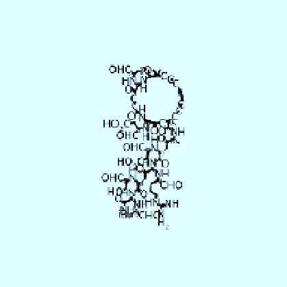 CC[C@H](C)[C@@H](C=O)N[C@H](NC(=O)[C@@H](CC(=O)[C@@H](NC(=O)[C@@H](CC(=O)[C@H](C)NC(=O)[C@]1(C)CCC/C=C\CCCC(C)(C)C(=O)N[C@@H](N[C@H](C=O)C(C)C)C(=O)CCC(=O)N[C@@H](N[C@H](C=O)CC(=O)O)C(=O)C1)N[C@H](C=O)CC(=O)O)N[C@H](C=O)CCCNC(=N)N)N[C@H](C=O)CO)C(N)=O